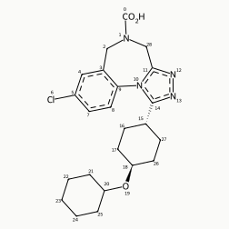 O=C(O)N1Cc2cc(Cl)ccc2-n2c(nnc2[C@H]2CC[C@H](OC3CCCCC3)CC2)C1